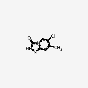 Cc1cc2n[nH]c(=O)n2cc1Cl